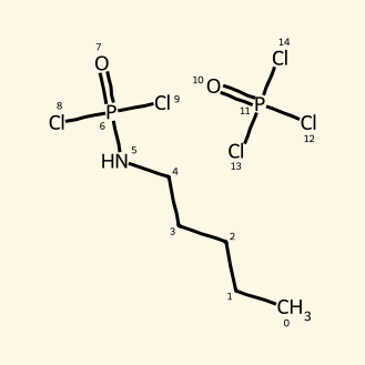 CCCCCNP(=O)(Cl)Cl.O=P(Cl)(Cl)Cl